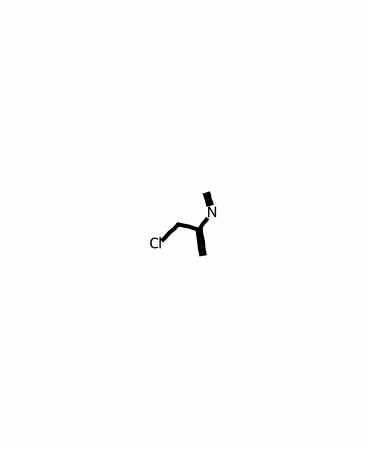 C=NC(=C)CCl